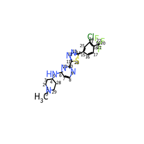 CN1CCC(Nc2ccnc(-c3nnc(-c4ccc(C(F)(F)F)c(Cl)c4)s3)n2)CC1